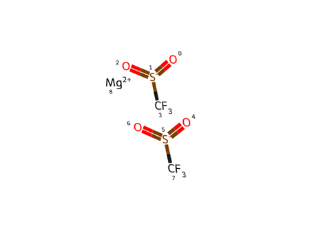 O=[S-](=O)C(F)(F)F.O=[S-](=O)C(F)(F)F.[Mg+2]